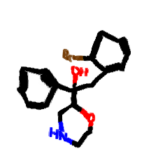 O[C@](Cc1ccccc1Br)(c1ccccc1)[C@@H]1CNCCO1